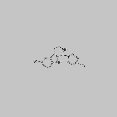 Clc1ccc([C@@H]2NCCc3c2[nH]c2ccc(Br)cc32)cc1